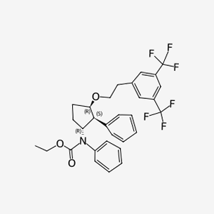 CCOC(=O)N(c1ccccc1)[C@@H]1CC[C@@H](OCCc2cc(C(F)(F)F)cc(C(F)(F)F)c2)[C@H]1c1ccccc1